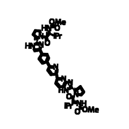 COC(=O)N[C@H](C(=O)N1CCC[C@H]1c1nc(-c2ccc(-c3ccc(-c4ccc5[nH]c([C@@H]6CCCN6C(=O)[C@@H](NC(=O)OC)C(C)C)nc5n4)cn3)cc2)c[nH]1)C(C)C